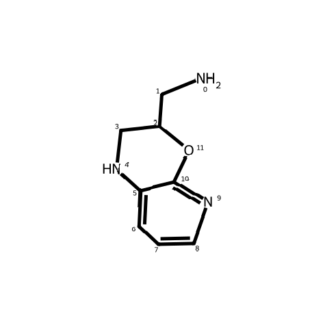 NCC1CNc2cccnc2O1